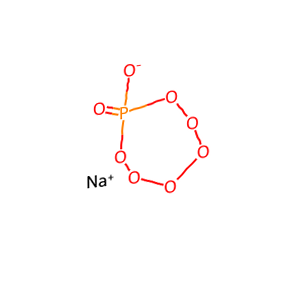 O=P1([O-])OOOOOO1.[Na+]